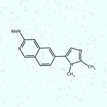 CNc1cc2cc(-c3cnc(C)n3C)ccc2cn1